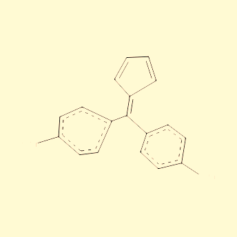 CCCCc1ccc(C(=C2[C]=CC=C2)c2ccc(CCCC)cc2)cc1